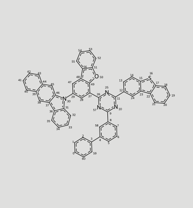 c1ccc(-c2cccc(-c3nc(-c4ccc5sc6ccccc6c5c4)nc(-c4cc(-n5c6ccccc6c6cc7ccccc7cc65)cc5c4oc4ccccc45)n3)c2)cc1